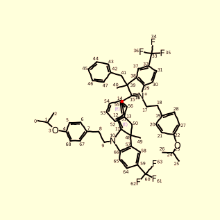 CC(C)Oc1ccc(CCN2/C(=C/C=C/C3=[N+](CCc4ccc(OC(C)C)cc4)c4ccc(C(F)(F)F)cc4C3(C)Cc3ccccc3)C(C)(Cc3ccccc3)c3cc(C(F)(F)F)ccc32)cc1